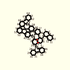 c1ccc(-c2cccc3ccccc23)c(-c2ccccc2N(c2ccc(-n3c4ccccc4c4ccccc43)cc2)c2ccc3c(c2)C2(c4ccccc4-3)c3ccccc3-n3c4ccccc4c4cccc2c43)c1